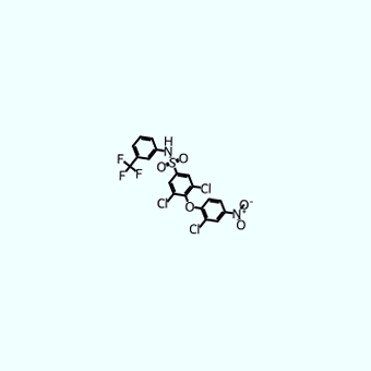 O=[N+]([O-])c1ccc(Oc2c(Cl)cc(S(=O)(=O)Nc3cccc(C(F)(F)F)c3)cc2Cl)c(Cl)c1